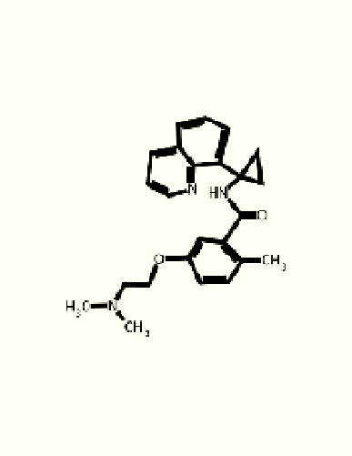 Cc1ccc(OCCN(C)C)cc1C(=O)NC1(c2cccc3cccnc23)CC1